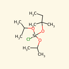 CCC(C)(C)O[Si](Cl)(OC(C)C)OC(C)C